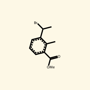 COC(=O)c1cccc(C(C)Br)c1C